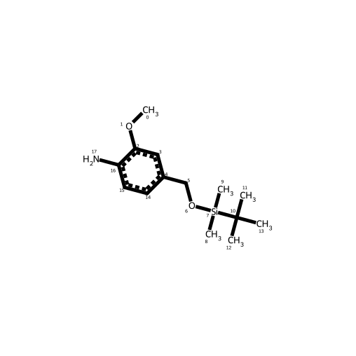 COc1cc(CO[Si](C)(C)C(C)(C)C)ccc1N